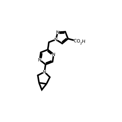 O=C(O)c1cnn(Cc2cnc(N3CC4CC4C3)cn2)c1